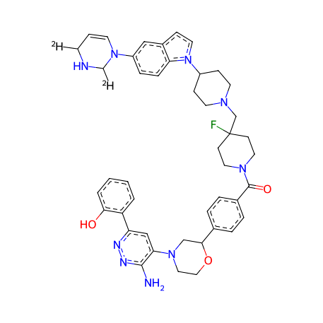 [2H]C1C=CN(c2ccc3c(ccn3C3CCN(CC4(F)CCN(C(=O)c5ccc(C6CN(c7cc(-c8ccccc8O)nnc7N)CCO6)cc5)CC4)CC3)c2)C([2H])N1